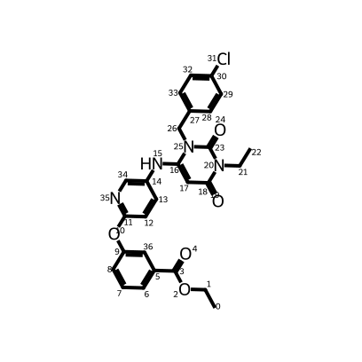 CCOC(=O)c1cccc(Oc2ccc(Nc3cc(=O)n(CC)c(=O)n3Cc3ccc(Cl)cc3)cn2)c1